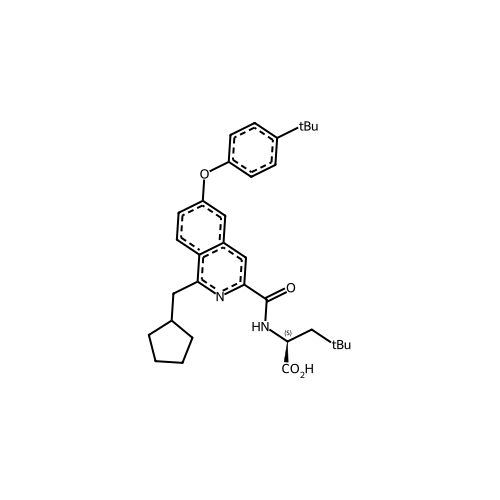 CC(C)(C)C[C@H](NC(=O)c1cc2cc(Oc3ccc(C(C)(C)C)cc3)ccc2c(CC2CCCC2)n1)C(=O)O